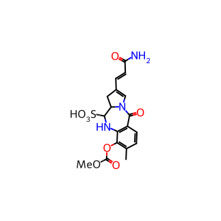 COC(=O)Oc1c(C)ccc2c1NC(S(=O)(=O)O)C1CC(C=CC(N)=O)=CN1C2=O